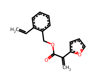 C=Cc1ccccc1COC(=O)C(=C)c1ccco1